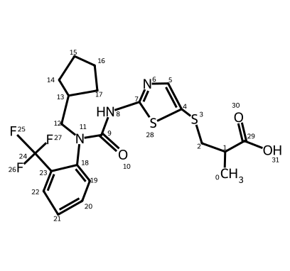 CC(CSc1cnc(NC(=O)N(CC2CCCC2)c2ccccc2C(F)(F)F)s1)C(=O)O